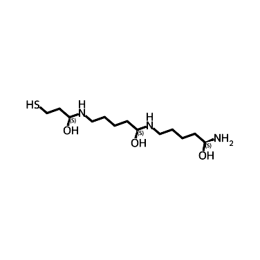 N[C@@H](O)CCCCN[C@@H](O)CCCCN[C@@H](O)CCS